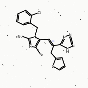 CCCCc1nc(Br)c(/C=C(\Cc2cccs2)c2nnn[nH]2)n1Cc1ccccc1Cl